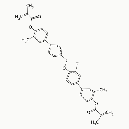 C=C(C)C(=O)Oc1ccc(-c2ccc(COc3ccc(-c4ccc(OC(=O)C(=C)C)c(C)c4)cc3F)cc2)cc1C